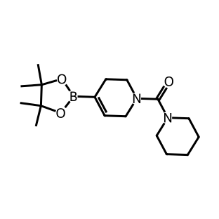 CC1(C)OB(C2=CCN(C(=O)N3CCCCC3)CC2)OC1(C)C